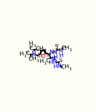 CNC(=S)N/N=C(C)/C(=N\NC(=S)NC)c1ccc(CN(C(C)C)C(C)C)o1